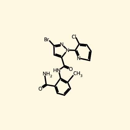 Cc1cccc(C(N)=O)c1NC(=O)c1cc(Br)nn1-c1ncccc1Cl